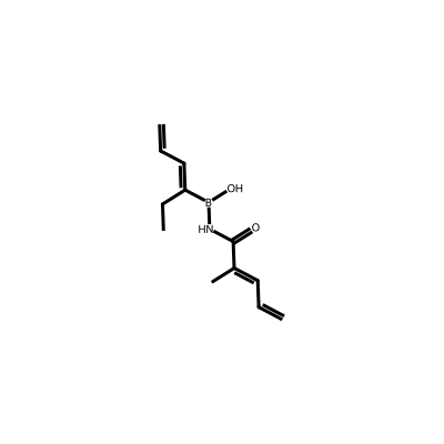 C=C/C=C(\CC)B(O)NC(=O)/C(C)=C/C=C